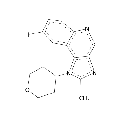 Cc1nc2cnc3ccc(I)cc3c2n1C1CCOCC1